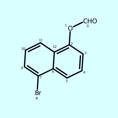 O=COc1cccc2c(Br)cccc12